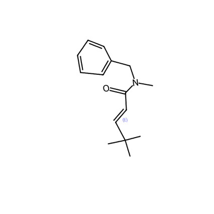 CN(Cc1ccccc1)C(=O)/C=C/C(C)(C)C